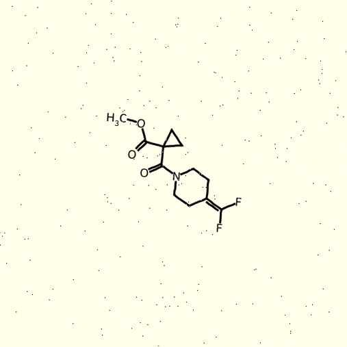 COC(=O)C1(C(=O)N2CCC(=C(F)F)CC2)CC1